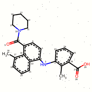 Cc1c(Nc2ccc(C(=O)N3CCCCC3)c3c(C)cccc23)cccc1C(=O)O